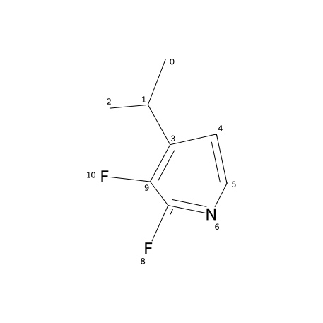 CC(C)c1ccnc(F)c1F